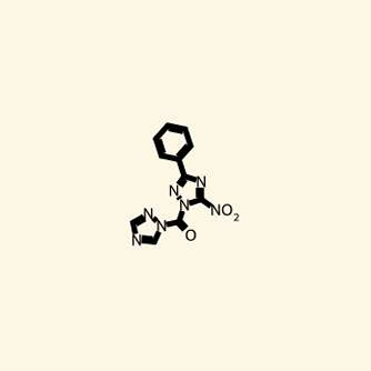 O=C(n1cncn1)n1nc(-c2ccccc2)nc1[N+](=O)[O-]